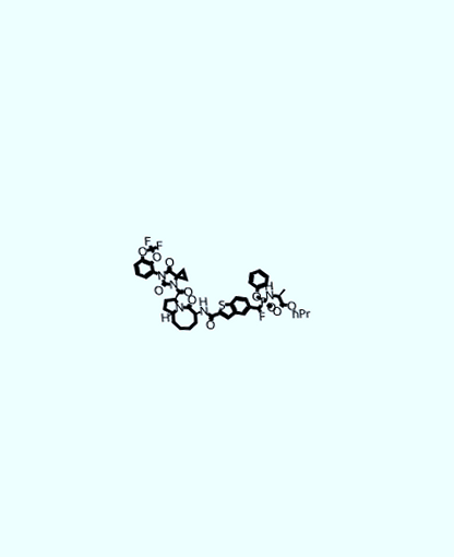 CCCOC(=O)[C@H](C)NP(=O)(Oc1ccccc1)C(F)c1ccc2sc(C(=O)N[C@H]3CCCC[C@H]4CC[C@@H](C(=O)N5C(=O)N(c6cccc7c6OC(F)(F)O7)C(=O)C56CC6)N4C3=O)cc2c1